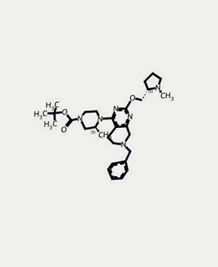 C[C@H]1CN(C(=O)OC(C)(C)C)CCN1c1nc(OC[C@@H]2CCCN2C)nc2c1CCN(Cc1ccccc1)C2